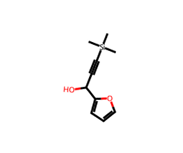 C[Si](C)(C)C#CC(O)c1ccco1